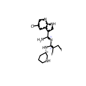 N/C(=N\C(N[C@H]1CCCNC1)=C(\F)CI)c1c[nH]c2ncc(Cl)cc12